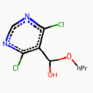 CCCOC(O)c1c(Cl)ncnc1Cl